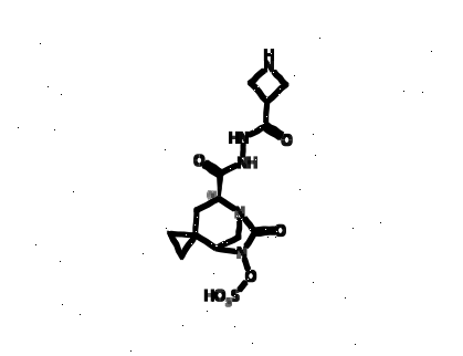 O=C(NNC(=O)[C@@H]1CC2(CC2)C2CN1C(=O)N2OS(=O)(=O)O)C1CNC1